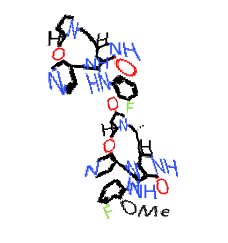 COc1c(F)cccc1Nc1c2[nH]c3c1C(=O)NC[C@@H]3C[C@@H](C)CN1CC(Oc3c(F)cccc3Nc3c4[nH]c5c3C(=O)NC[C@H]5CCCN3CCC[C@H]3COc3cnccc3-4)C[C@H]1COc1cnccc1-2